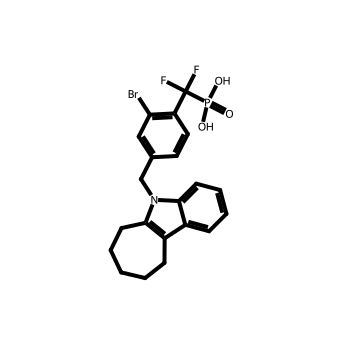 O=P(O)(O)C(F)(F)c1ccc(Cn2c3c(c4ccccc42)CCCCC3)cc1Br